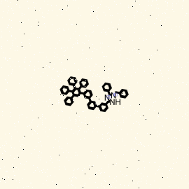 N=C(/N=C(\N=C\c1ccccc1)C1=CCCC=C1)c1cccc(-c2cccc(-c3cccc(-c4cc(-c5ccccc5)c(-c5ccccc5)c(C5=CCCC=C5)c4-c4ccccc4)c3)c2)c1